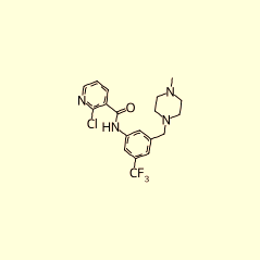 CN1CCN(Cc2cc(NC(=O)c3cccnc3Cl)cc(C(F)(F)F)c2)CC1